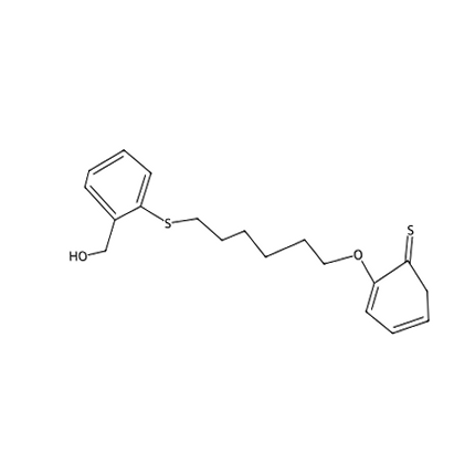 OCc1ccccc1SCCCCCCOC1=CC=CCC1=S